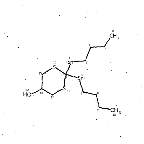 CCC[CH2][Sn][C]1([Sn][CH2]CCC)SCC(O)CS1